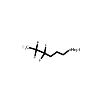 CCCCCCCCCCC(F)(F)C(F)(F)C(F)(F)F